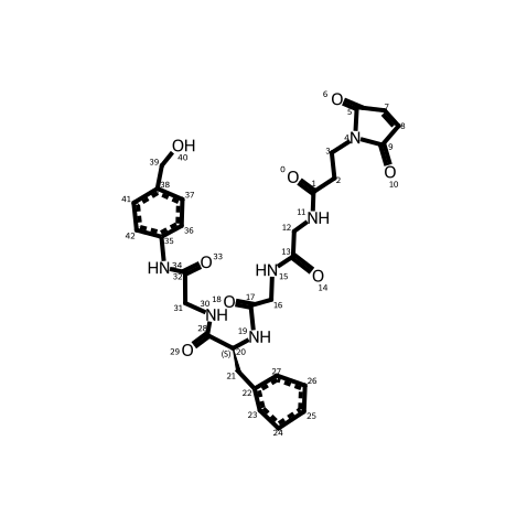 O=C(CCN1C(=O)C=CC1=O)NCC(=O)NCC(=O)N[C@@H](Cc1ccccc1)C(=O)NCC(=O)Nc1ccc(CO)cc1